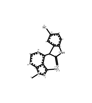 Cn1nc([N+](=O)[O-])c2c(C3C(=O)Nc4ccc(C#N)cc43)ncnc21